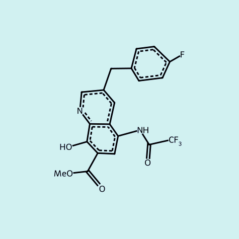 COC(=O)c1cc(NC(=O)C(F)(F)F)c2cc(Cc3ccc(F)cc3)cnc2c1O